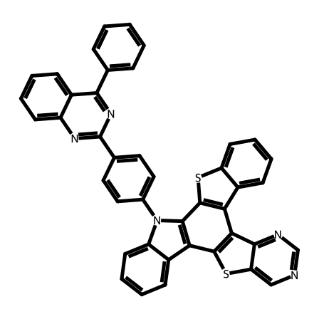 c1ccc(-c2nc(-c3ccc(-n4c5ccccc5c5c6sc7cncnc7c6c6c7ccccc7sc6c54)cc3)nc3ccccc23)cc1